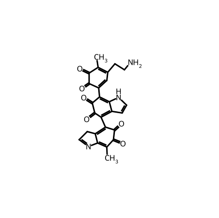 CC1=C(CCN)C=C(C2=c3[nH]ccc3=C(C3=C4CC=NC4=C(C)C(=O)C3=O)C(=O)C2=O)C(=O)C1=O